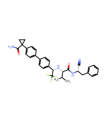 CC(C)[C@H](N[C@@H](c1ccc(-c2ccc(C3(C(N)=O)CC3)cc2)cc1)C(F)(F)F)C(=O)N[C@H](C#N)Cc1ccccc1